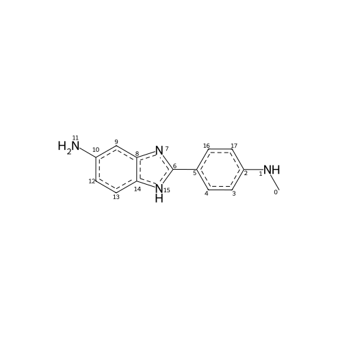 CNc1ccc(-c2nc3cc(N)ccc3[nH]2)cc1